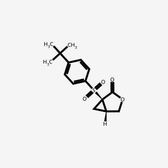 CC(C)(C)c1ccc(S(=O)(=O)[C@]23C[C@H]2COC3=O)cc1